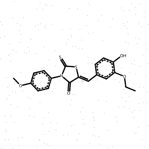 CCOc1cc(/C=C2\SC(=S)N(c3ccc(OC)cc3)C2=O)ccc1O